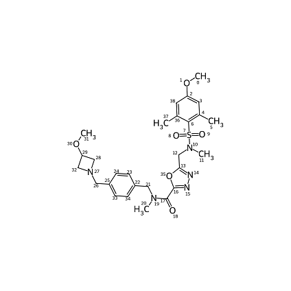 COc1cc(C)c(S(=O)(=O)N(C)Cc2nnc(C(=O)N(C)Cc3ccc(CN4CC(OC)C4)cc3)o2)c(C)c1